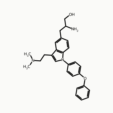 CN(C)CCc1cn(-c2ccc(Oc3ccccc3)cc2)c2ccc(CC(N)CO)cc12